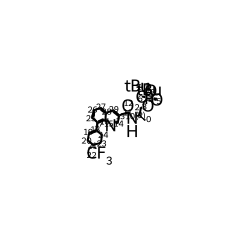 C[C@H](COP(=O)(OC(C)(C)C)OC(C)(C)C)NC(=O)c1cnc2c(C3=CCC(C(F)(F)F)CC3)cccc2c1